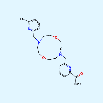 CCc1cccc(CN2CCOCCN(Cc3cccc(C(=O)OC)n3)CCOCC2)n1